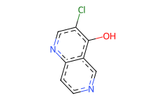 Oc1c(Cl)cnc2ccncc12